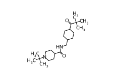 CC(C)(C)C(=O)C1CCC(CNC(=O)C2CCN(C(C)(C)C)CC2)CC1